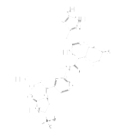 COCC(c1ccnc(NC(=O)[C@@H](NC(=O)Cc2cc(C)[nH]n2)C2CCC(C)CC2)c1)N1C[C@@H](C(F)(F)F)NC1=O